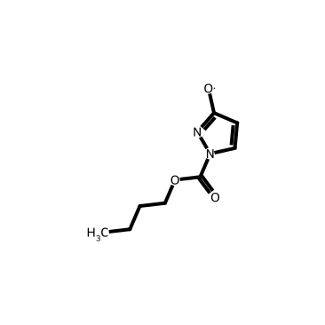 CCCCOC(=O)n1ccc([O])n1